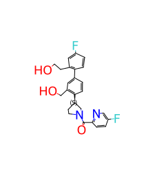 O=C(c1ccc(F)cn1)N1CC[C@@H](c2ccc(-c3ccc(F)cc3CCO)cc2CO)C1